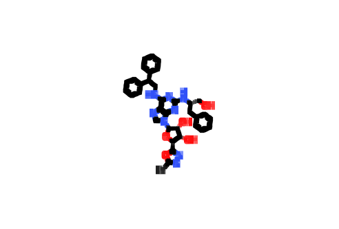 CCc1nnc([C@H]2O[C@@H](n3cnc4c(NCC(c5ccccc5)c5ccccc5)nc(N[C@H](CO)Cc5ccccc5)nc43)[C@H](O)[C@@H]2O)o1